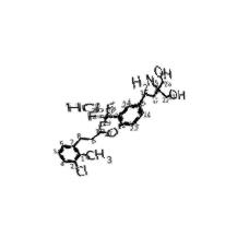 Cc1c(Cl)cccc1CCCOc1ccc(CCC(N)(CO)CO)cc1C(F)(F)F.Cl